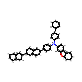 c1ccc(-c2ccc(N(c3ccc(-c4ccc5cc(-c6ccc7ccccc7c6)ccc5c4)cc3)c3ccc4c(c3)oc3ccccc34)cc2)cc1